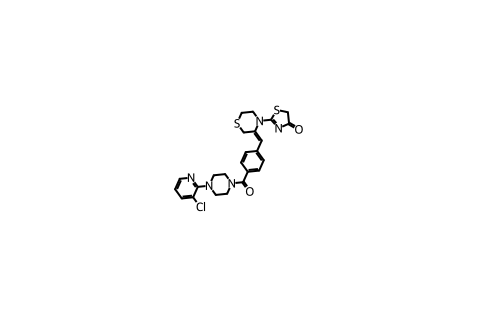 O=C1CSC(N2CCSCC2=Cc2ccc(C(=O)N3CCN(c4ncccc4Cl)CC3)cc2)=N1